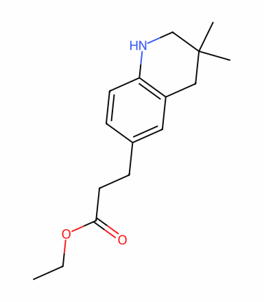 CCOC(=O)CCc1ccc2c(c1)CC(C)(C)CN2